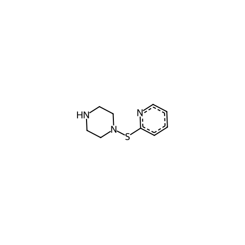 c1ccc(SN2CCNCC2)nc1